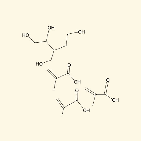 C=C(C)C(=O)O.C=C(C)C(=O)O.C=C(C)C(=O)O.OCCC(CO)C(O)CO